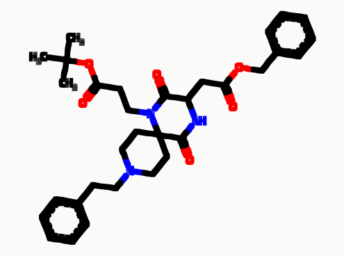 CC(C)(C)OC(=O)CCN1C(=O)C(CC(=O)OCc2ccccc2)NC(=O)C12CCN(CCc1ccccc1)CC2